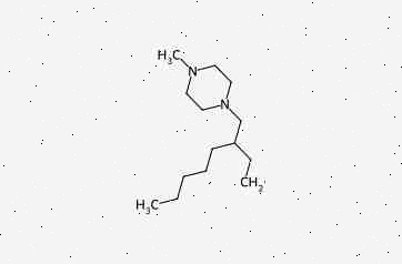 [CH2]CC(CCCCC)CN1CCN(C)CC1